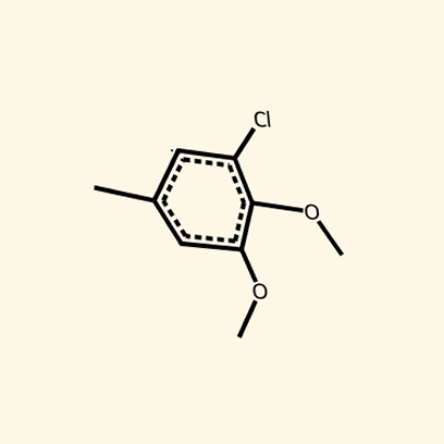 COc1cc(C)[c]c(Cl)c1OC